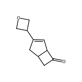 O=C1CC2CC(C3COC3)=CC12